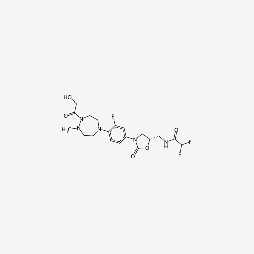 CN1CCN(c2ccc(N3C[C@H](CNC(=O)C(F)F)OC3=O)cc2F)CCN1C(=O)CO